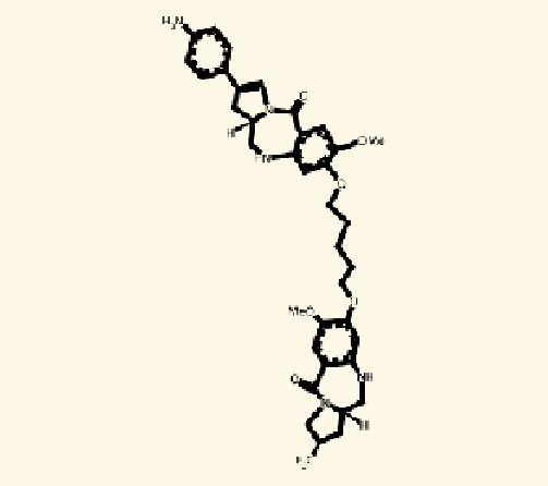 COc1cc2c(cc1OCCCCCOc1cc3c(cc1OC)C(=O)N1C[C@H](C(F)(F)F)C[C@H]1CN3)NC[C@@H]1CC(c3ccc(N)cc3)=CN1C2=O